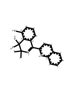 CC1(C)N=C(c2ccc3ccccc3n2)c2cccc(F)c2C1(F)F